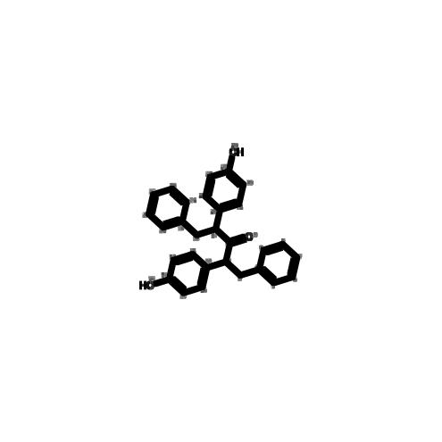 O=C(C(Cc1ccccc1)c1ccc(O)cc1)C(Cc1ccccc1)c1ccc(O)cc1